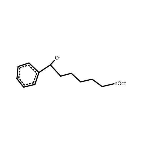 CCCCCCCCCCCCCC([O])c1ccccc1